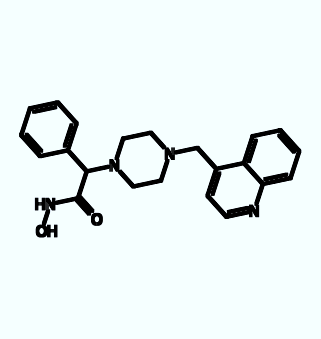 O=C(NO)C(c1ccccc1)N1CCN(Cc2ccnc3ccccc23)CC1